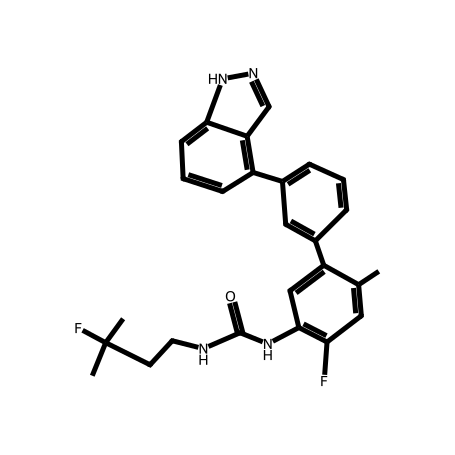 Cc1cc(F)c(NC(=O)NCCC(C)(C)F)cc1-c1cccc(-c2cccc3[nH]ncc23)c1